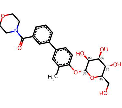 Cc1cc(-c2cccc(C(=O)N3CCOCC3)c2)ccc1O[C@H]1O[C@H](CO)[C@@H](O)[C@H](O)[C@@H]1O